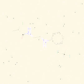 CC(Cl)C(=O)NCCNc1cccc(OC(F)(F)F)c1